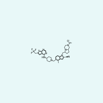 Cc1c(CN2CCC(Nc3ncnc4sc(CC(F)(F)F)cc34)CC2)ccc2c1cc(C#N)n2CC1CCC2CN([S+](C)[O-])CCN21